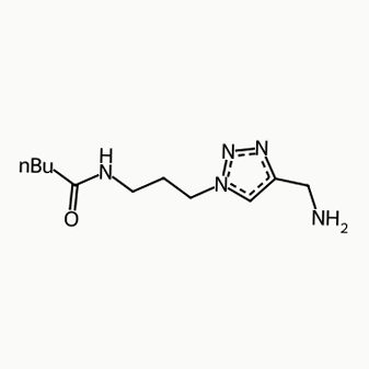 CCCCC(=O)NCCCn1cc(CN)nn1